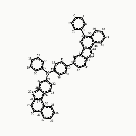 c1ccc(-c2cc3c4cc(-c5ccc(N(c6ccccc6)c6ccc7c(c6)sc6ccc8ccccc8c67)cc5)ccc4oc3c3ccccc23)cc1